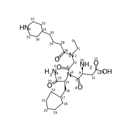 CCN(CC(=O)N(C(=O)[C@@H](N)CC(=O)O)[C@@H](CC1CCCCC1)C(N)=O)C(=O)CCCC1CCNCC1